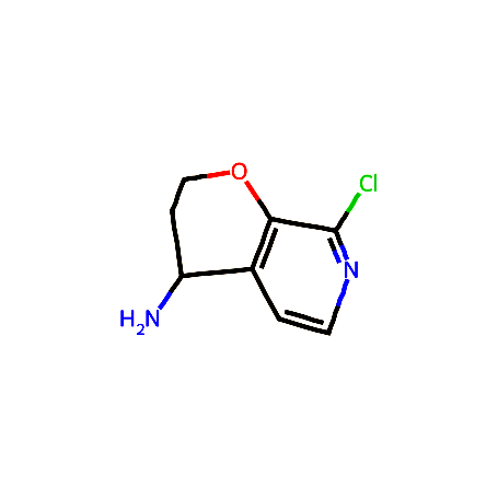 NC1CCOc2c1ccnc2Cl